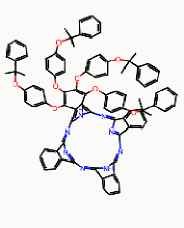 CC(C)(Oc1ccc(Oc2c(Oc3ccc(OC(C)(C)c4ccccc4)cc3)c(Oc3ccc(OC(C)(C)c4ccccc4)cc3)c3c4nc5nc(nc6[nH]c(nc7nc(nc([nH]4)c3c2Oc2ccc(OC(C)(C)c3ccccc3)cc2)-c2ccccc2-7)c2ccccc62)-c2ccccc2-5)cc1)c1ccccc1